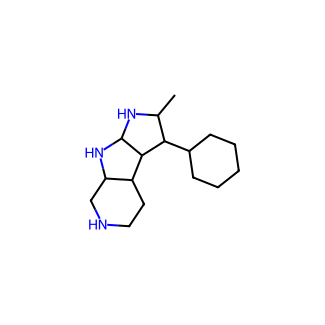 CC1NC2NC3CNCCC3C2C1C1CCCCC1